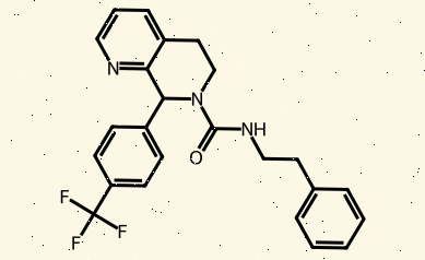 O=C(NCCc1ccccc1)N1CCc2cccnc2C1c1ccc(C(F)(F)F)cc1